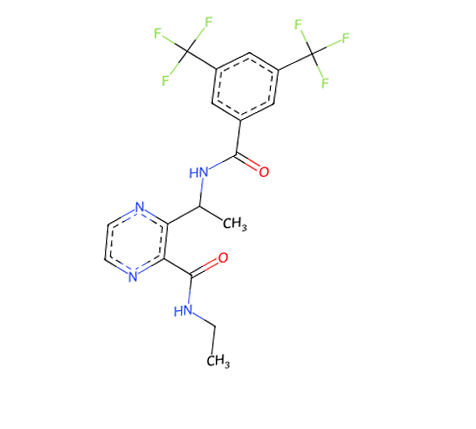 CCNC(=O)c1nccnc1C(C)NC(=O)c1cc(C(F)(F)F)cc(C(F)(F)F)c1